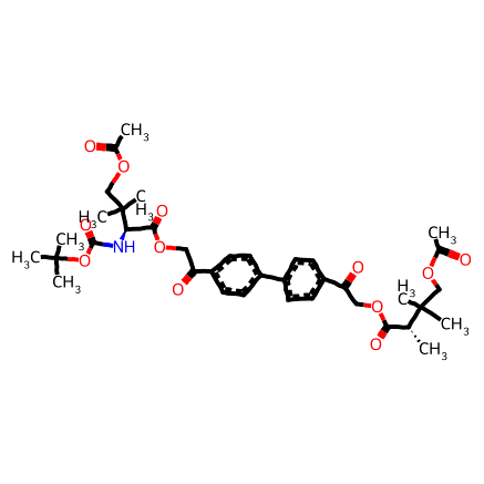 CC(=O)OCC(C)(C)[C@H](C)C(=O)OCC(=O)c1ccc(-c2ccc(C(=O)COC(=O)[C@@H](NC(=O)OC(C)(C)C)C(C)(C)COC(C)=O)cc2)cc1